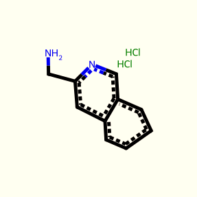 Cl.Cl.NCc1cc2ccccc2cn1